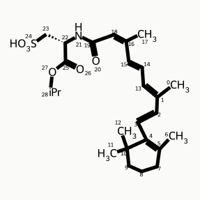 CC(C=CC1=C(C)CCCC1(C)C)=CC=C/C(C)=C\C(=O)N[C@@H](CS(=O)(=O)O)C(=O)OC(C)C